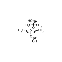 CC=CC(C=CC)(ONO)SOC(C)(C)NO